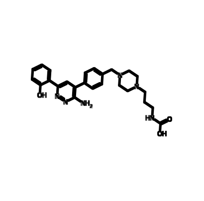 Nc1nnc(-c2ccccc2O)cc1-c1ccc(CN2CCN(CCCNC(=O)O)CC2)cc1